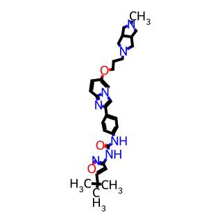 CN1CC2CN(CCCOc3ccc4nc(-c5ccc(NC(=O)Nc6cc(C(C)(C)C)on6)cc5)cn4c3)CC2C1